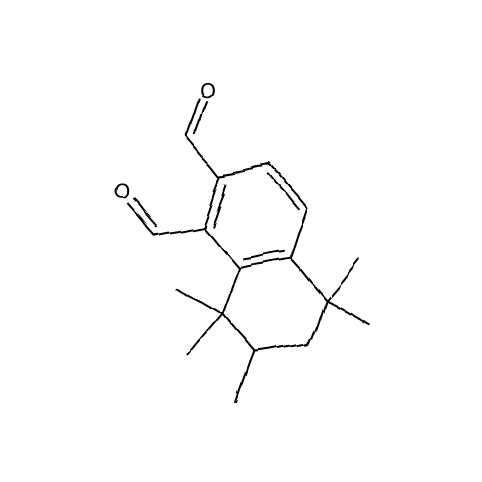 CC1CC(C)(C)c2ccc(C=O)c(C=O)c2C1(C)C